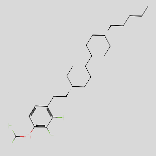 CCCCC[C@H]1CC[C@H]([C@H]2CC[C@H](CCc3ccc(OC(F)F)c(F)c3F)CC2)CC1